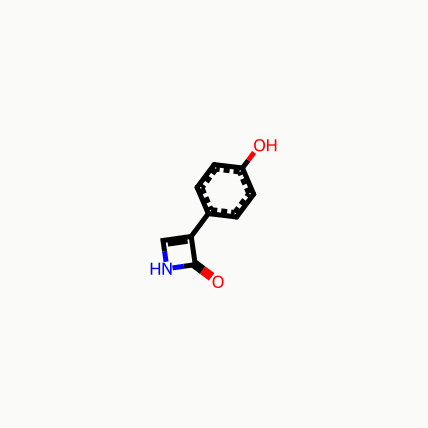 O=C1NC=C1c1ccc(O)cc1